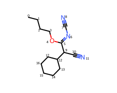 CCCCOC(=NC#N)C(C#N)C1CCCCC1